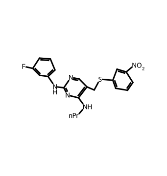 CCCNc1nc(Nc2cccc(F)c2)ncc1CSc1cccc([N+](=O)[O-])c1